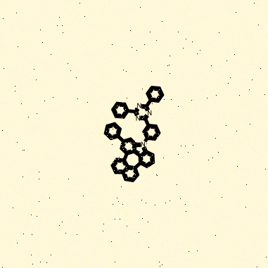 c1ccc(-c2cc3c4c5c(cccc5n(-c5cccc(-c6nc(-c7ccccc7)nc(-c7ccccc7)n6)c5)c4c2)-c2cccc4cccc-3c24)cc1